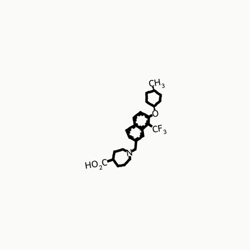 C[C@H]1CC[C@@H](Oc2ccc3ccc(CN4CCCC(C(=O)O)CC4)cc3c2C(F)(F)F)CC1